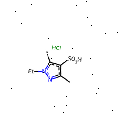 CCn1nc(C)c(S(=O)(=O)O)c1C.Cl